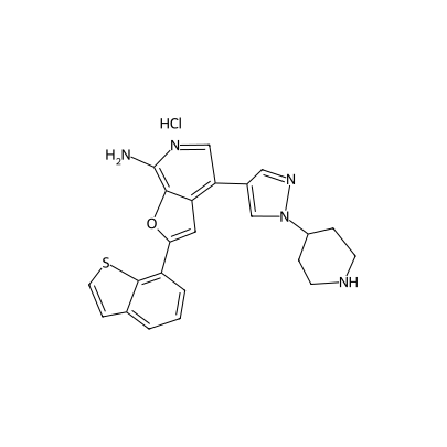 Cl.Nc1ncc(-c2cnn(C3CCNCC3)c2)c2cc(-c3cccc4ccsc34)oc12